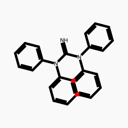 N=C(N(c1ccccc1)c1ccccc1)N(c1ccccc1)c1ccccc1